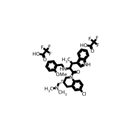 COc1ccccc1CNC(C(=O)N1C[C@@H](CN(C)C)Cc2cc(Cl)ccc21)C(C)c1c[nH]c2ccccc12.O=C(O)C(F)(F)F.O=C(O)C(F)(F)F